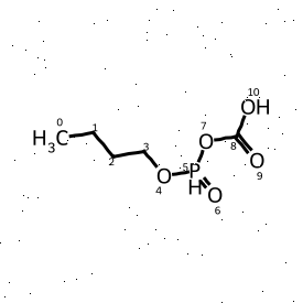 CCCCO[PH](=O)OC(=O)O